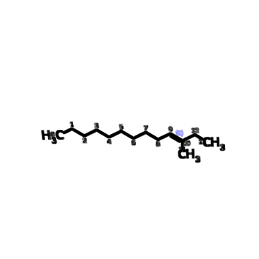 CCCCCCCCC/C=C(\C)CC